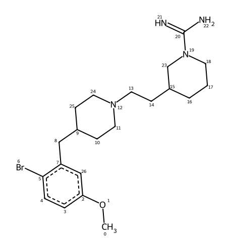 COc1ccc(Br)c(CC2CCN(CCC3CCCN(C(=N)N)C3)CC2)c1